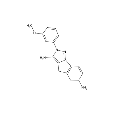 COc1cccc(-n2nc3c(c2N)Cc2cc(N)ccc2-3)c1